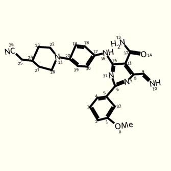 COc1cccc(-c2nc(C=N)c(C(N)=O)c(Nc3ccc(N4CCC(CC#N)CC4)cc3)n2)c1